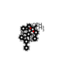 CC(C)(C)c1ccc(-c2c(-n3c4ccccc4c4ccccc43)c(C#N)c(-n3c4ccccc4c4cc(-c5ccccc5)ccc43)c(C#N)c2-n2c3ccccc3c3ccccc32)cc1